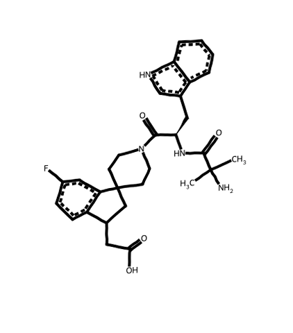 CC(C)(N)C(=O)N[C@H](Cc1c[nH]c2ccccc12)C(=O)N1CCC2(CC1)CC(CC(=O)O)c1ccc(F)cc12